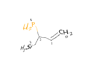 C=CC([SiH3])P